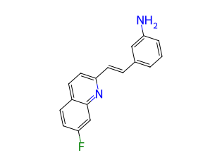 Nc1cccc(C=Cc2ccc3ccc(F)cc3n2)c1